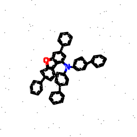 c1ccc(-c2ccc(N(c3ccc(-c4ccccc4)cc3)c3cc(-c4ccccc4)cc4oc5cc(-c6ccccc6)ccc5c34)cc2)cc1